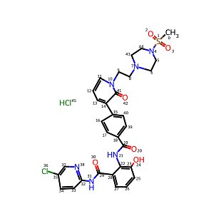 CS(=O)(=O)N1CCN(CCn2cccc(-c3ccc(C(=O)Nc4c(O)cccc4C(=O)Nc4ccc(Cl)cn4)cc3)c2=O)CC1.Cl